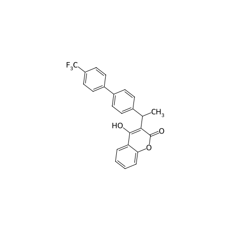 CC(c1ccc(-c2ccc(C(F)(F)F)cc2)cc1)c1c(O)c2ccccc2oc1=O